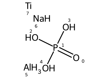 O=P(O)(O)O.[AlH3].[NaH].[Ti]